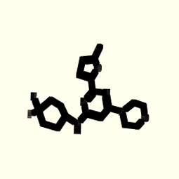 Cc1ccc(-c2nc(NC3CCC(F)(F)CC3)cc(N3CCOCC3)n2)o1